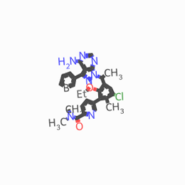 CCOc1c(C(C)n2nc(-c3cbccc3)c3c(N)ncnc32)cc(Cl)c(C)c1-c1ccc(C(=O)N(C)C)nc1